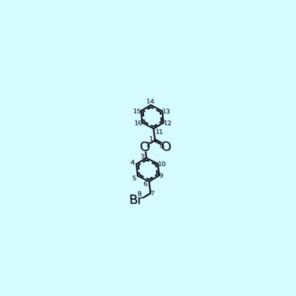 O=C(Oc1ccc(CBr)cc1)c1ccccc1